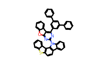 c1ccc(-c2cc(-c3ccccc3)cc(-c3nc(-n4c5ccccc5c5ccc6sc7ccccc7c6c54)nc4oc5ccccc5c34)c2)cc1